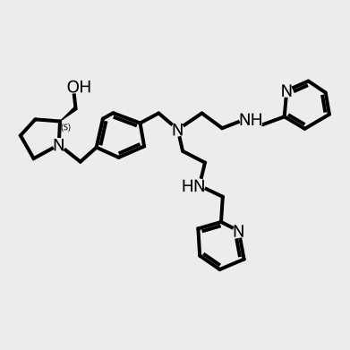 OC[C@@H]1CCCN1Cc1ccc(CN(CCNCc2ccccn2)CCNCc2ccccn2)cc1